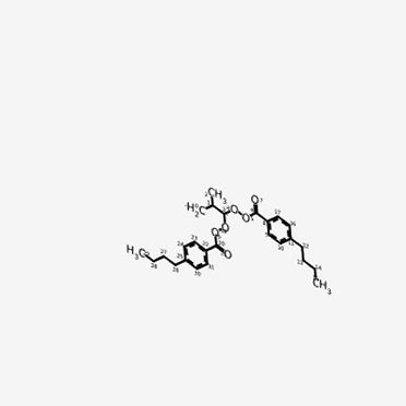 [CH2]C(C)[C](OOC(=O)c1ccc(CCCC)cc1)OOC(=O)c1ccc(CCCC)cc1